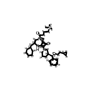 C[Si](C)(C)CCCC(=O)NCC(CC1CCCCC1)Nc1c(N2CCCC([C@H](OCCC3CC3)c3ccccc3)C2)c(=O)c1=O